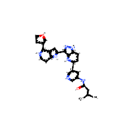 CC(C)CC(=O)Nc1cncc(-c2ccc3[nH]nc(-c4cc5c(-c6ccoc6)nccc5[nH]4)c3n2)c1